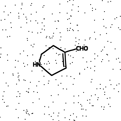 O=CC1=CCNCC1